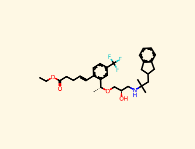 CCOC(=O)CC/C=C/c1ccc(C(F)(F)F)cc1[C@@H](C)OC[C@H](O)CNC(C)(C)CC1Cc2ccccc2C1